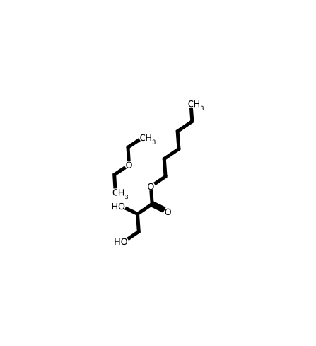 CCCCCCOC(=O)C(O)CO.CCOCC